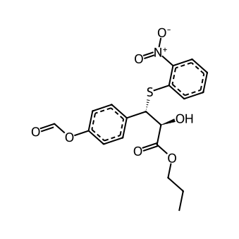 CCCOC(=O)[C@H](O)[C@@H](Sc1ccccc1[N+](=O)[O-])c1ccc(OC=O)cc1